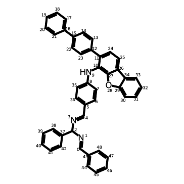 C(=N\C(/N=C/c1ccc(Nc2c(-c3ccc(-c4ccccc4)cc3)ccc3c2oc2ccccc23)cc1)c1ccccc1)/c1ccccc1